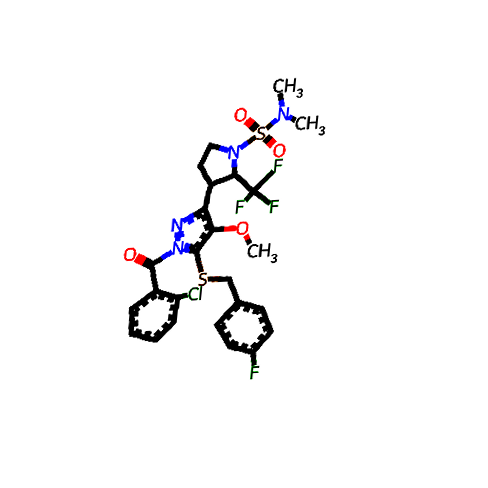 COc1c(C2CCN(S(=O)(=O)N(C)C)C2C(F)(F)F)nn(C(=O)c2ccccc2Cl)c1SCc1ccc(F)cc1